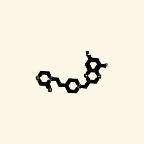 O=C1COCCN1CCC1CCN(CC2COc3c(F)cc(F)cc3O2)CC1